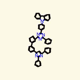 c1ccc(-c2cc(-c3cccc(-c4cccc(-c5nc(-c6ccccc6)nc(-c6ccc(-n7c8ccccc8c8ccccc87)cc6)n5)c4)c3)nc(-c3ccccc3)n2)cc1